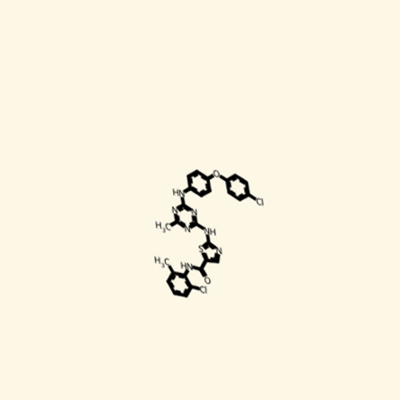 Cc1nc(Nc2ccc(Oc3ccc(Cl)cc3)cc2)nc(Nc2ncc(C(=O)Nc3c(C)cccc3Cl)s2)n1